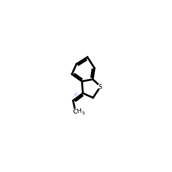 C/C=C1\CSc2ccccc21